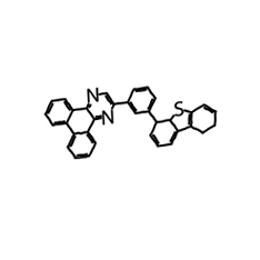 C1=CC(c2cccc(-c3cnc4c5ccccc5c5ccccc5c4n3)c2)C2SC3=C(CCC=C3)C2=C1